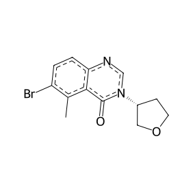 Cc1c(Br)ccc2ncn([C@@H]3CCOC3)c(=O)c12